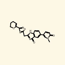 Cn1cc(-c2ccc3[nH]c(Cc4nc(C5=CCCCO5)no4)nc(=O)c3c2)ccc1=O